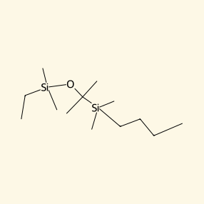 CCCC[Si](C)(C)C(C)(C)O[Si](C)(C)CC